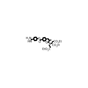 CCOC(=O)CCN(C(=O)C(C)=Cc1ccc(C(=O)Oc2ccc(C(=N)N)cc2)cc1)[C@@H](CC(=O)OCC)C(=O)O